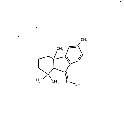 Cc1ccc2c(c1)C1(C)CCCC(C)(C)C1C2=NO